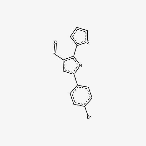 O=Cc1cn(-c2ccc(Br)cc2)nc1-c1cccs1